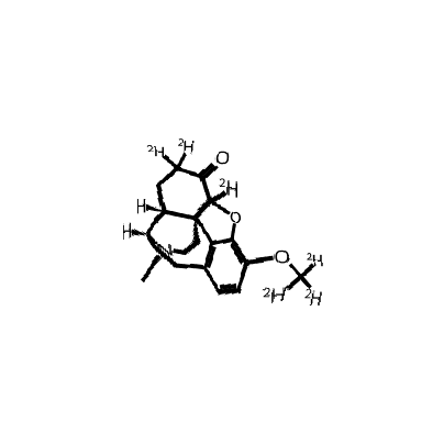 [2H]C([2H])([2H])Oc1ccc2c3c1OC1([2H])C(=O)C([2H])([2H])C[C@H]4[C@@H](C2)N(C)CC[C@@]341